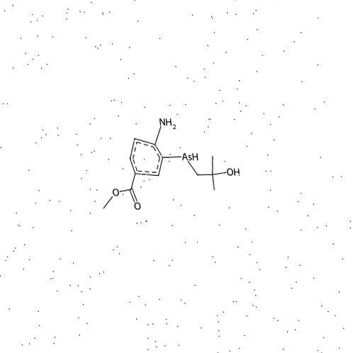 COC(=O)c1ccc(N)c([AsH]CC(C)(C)O)c1